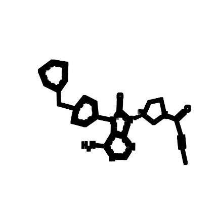 CC#CC(=O)N1CC[C@@H](n2c(=O)n(-c3ccc(Cc4ccccc4)cc3)c3c(N)ncnc32)C1